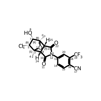 C[C@]12O[C@](C)([C@H](Cl)[C@@H]1O)[C@H]1C(=O)N(c3ccc(C#N)c(C(F)(F)F)c3)C(=O)[C@H]12